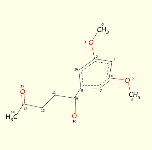 COc1cc(OC)cc(C(=O)CCC(C)=O)c1